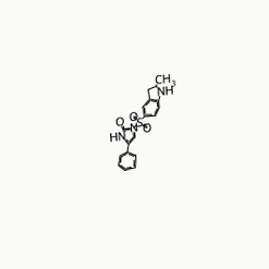 CC1Cc2cc(S(=O)(=O)n3cc(-c4ccccc4)[nH]c3=O)ccc2N1